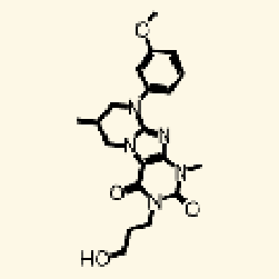 COc1cccc(N2CC(C)Cn3c2nc2c3c(=O)n(CCCO)c(=O)n2C)c1